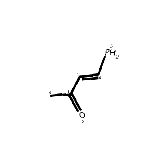 CC(=O)/C=C/P